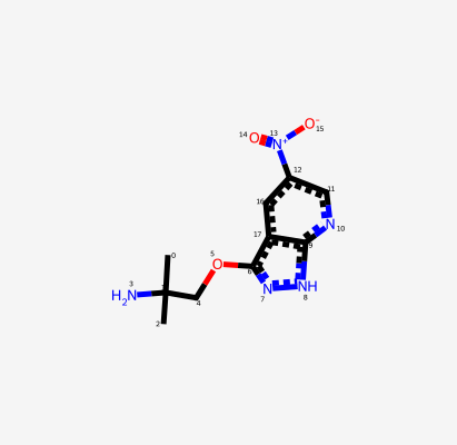 CC(C)(N)COc1n[nH]c2ncc([N+](=O)[O-])cc12